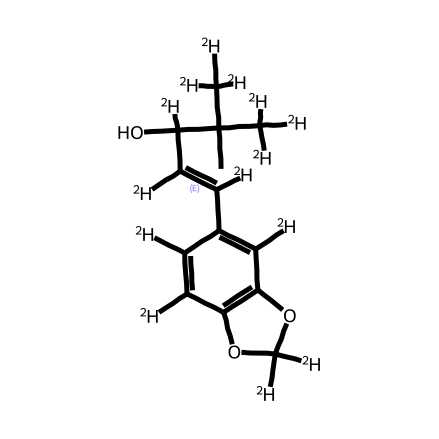 [2H]/C(=C(/[2H])C([2H])(O)C(C)(C([2H])([2H])[2H])C([2H])([2H])[2H])c1c([2H])c([2H])c2c(c1[2H])OC([2H])([2H])O2